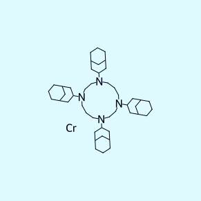 C1CC2CC(C1)CC(N1CCCN(C3CC4CCCC(C4)C3)CCN(C3CC4CCCC(C4)C3)CCCN(C3CC4CCCC(C4)C3)CC1)C2.[Cr]